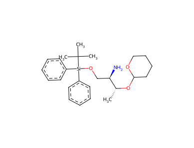 C[C@@H](OC1CCCCO1)[C@H](N)CO[Si](c1ccccc1)(c1ccccc1)C(C)(C)C